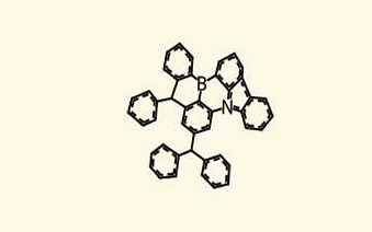 c1ccc(C(c2ccccc2)c2cc3c4c(c2)-n2c5ccccc5c5cccc(c52)B4c2ccccc2C3c2ccccc2)cc1